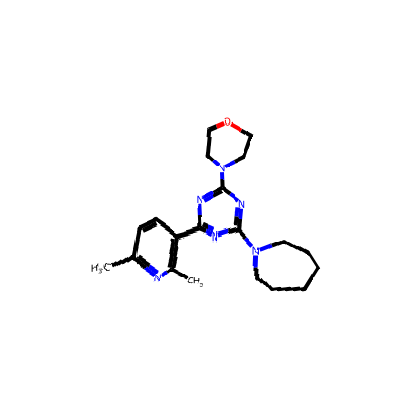 Cc1ccc(-c2nc(N3CCCCCC3)nc(N3CCOCC3)n2)c(C)n1